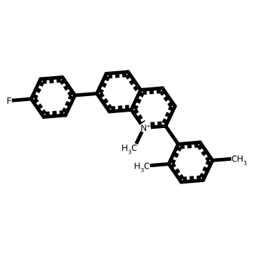 Cc1ccc(C)c(-c2ccc3ccc(-c4ccc(F)cc4)cc3[n+]2C)c1